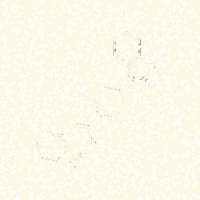 N#C/N=C(\Oc1ccccc1)N1CCC(n2c(=O)[nH]c3ccccc32)CC1